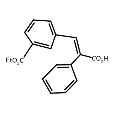 CCOC(=O)c1cccc(C=C(C(=O)O)c2ccccc2)c1